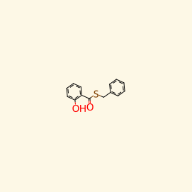 O=C(SCc1ccccc1)c1ccccc1O